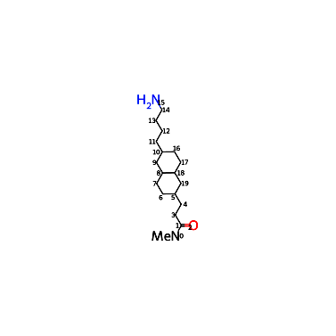 CNC(=O)CCC1CCC2CC(CCCCN)CCC2C1